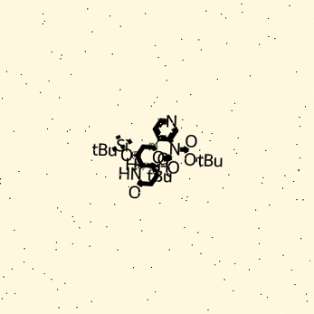 CC(C)(C)OC(=O)N(C(=O)OC(C)(C)C)c1cnccc1[C@H]1C[C@@H](O[Si](C)(C)C(C)(C)C)[C@@H]2NC(=O)CC[C@H]2O1